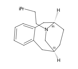 CC(C)CCN1C[C@H]2CC[C@@H]1Cc1ccccc1C2